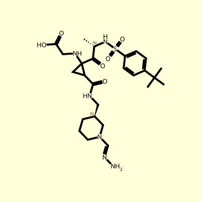 C[C@H](NS(=O)(=O)c1ccc(C(C)(C)C)cc1)C(=O)C1(NCC(=O)O)CC1C(=O)NC[C@@H]1CCCN(C=NN)C1